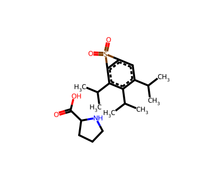 CC(C)c1cc2c(c(C(C)C)c1C(C)C)S2(=O)=O.O=C(O)C1CCCN1